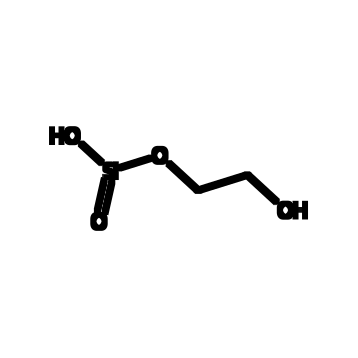 O=[Si](O)OCCO